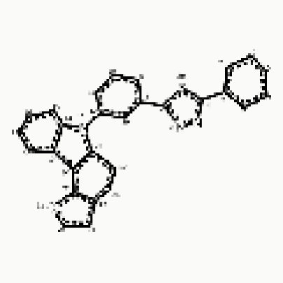 c1ccc(-c2nnc(-c3cccc(-n4c5ccccc5c5c6occc6ccc54)c3)s2)cc1